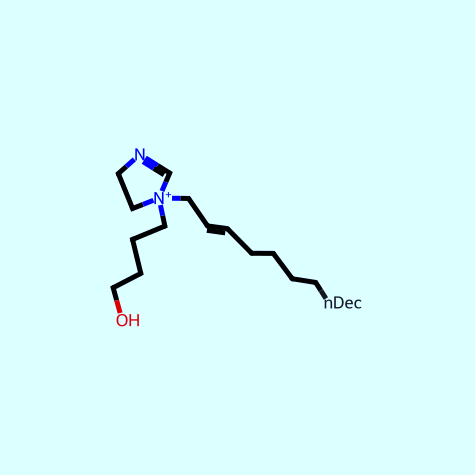 CCCCCCCCCCCCCCC=CC[N+]1(CCCCO)C=NCC1